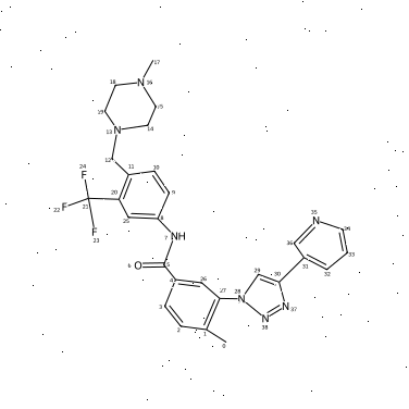 Cc1ccc(C(=O)Nc2ccc(CN3CCN(C)CC3)c(C(F)(F)F)c2)cc1-n1cc(-c2cccnc2)nn1